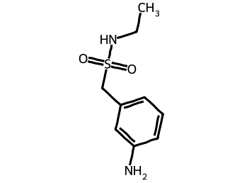 CCNS(=O)(=O)Cc1cccc(N)c1